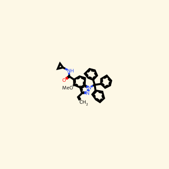 C=Cc1nn(C(c2ccccc2)(c2ccccc2)c2ccccc2)c2ccc(C(=O)NC3CC3)c(OC)c12